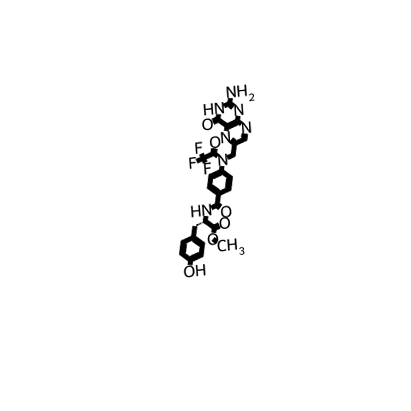 COC(=O)[C@H](Cc1ccc(O)cc1)NC(=O)c1ccc(N(Cc2cnc3nc(N)[nH]c(=O)c3n2)C(=O)C(F)(F)F)cc1